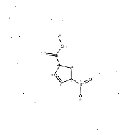 COC(=O)C1C=CC([N+](=O)[O-])C1